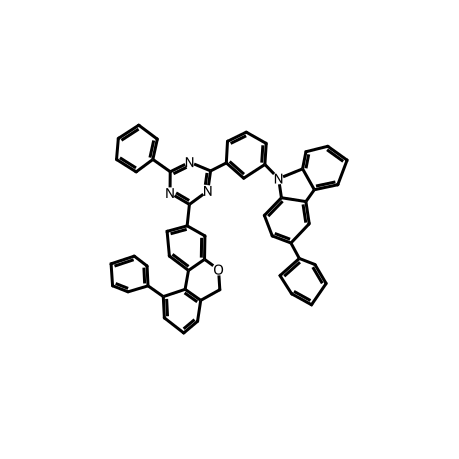 c1ccc(-c2ccc3c(c2)c2ccccc2n3-c2cccc(-c3nc(-c4ccccc4)nc(-c4ccc5c(c4)OCc4cccc(-c6ccccc6)c4-5)n3)c2)cc1